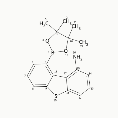 CC1(C)OB(c2cccc3sc4cccc(N)c4c23)OC1(C)C